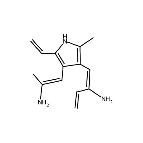 C=C/C(N)=C\c1c(C)[nH]c(C=C)c1/C=C(\C)N